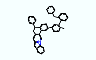 Cc1ccc(-c2ccc3c(c2)-c2cn4c(cc2CC3c2ccccc2)cc2ccccc24)cc1-c1ccccc1Cc1ccccc1